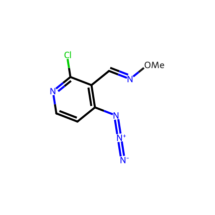 CO/N=C/c1c(N=[N+]=[N-])ccnc1Cl